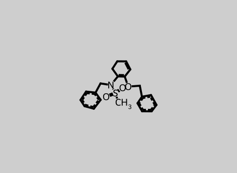 CS(=O)(=O)N(Cc1ccccc1)C1=C(OCc2ccccc2)C=CCC1